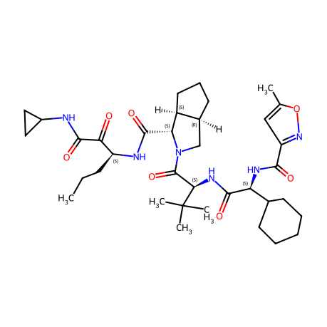 CCC[C@H](NC(=O)[C@@H]1[C@H]2CCC[C@H]2CN1C(=O)[C@@H](NC(=O)[C@@H](NC(=O)c1cc(C)on1)C1CCCCC1)C(C)(C)C)C(=O)C(=O)NC1CC1